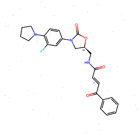 O=C(/C=C/C(=O)c1ccccc1)NC[C@H]1CN(c2ccc(N3CCCC3)c(F)c2)C(=O)O1